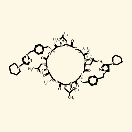 CC(C)C[C@H]1C(=O)O[C@H](Cc2ccc(Cn3cc(N4CCCCC4)cn3)cc2)C(=O)N(C)[C@@H](CC(C)C)C(=O)O[C@H](C)C(=O)N(C)[C@@H](CC(C)C)C(=O)O[C@H](Cc2ccc(Cn3cc(N4CCCCC4)cn3)cc2)C(=O)N(C)[C@@H](CC(C)C)C(=O)O[C@H](C)C(=O)N1C